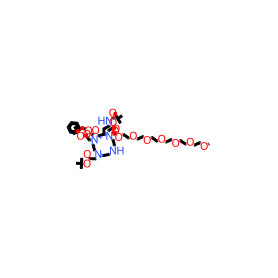 COCCOCCOCCOCCOCCOCCOC(=O)[N+]1(CC(=O)OC(C)(C)C)CCNCCN(CC(=O)OC(C)(C)C)CC[N+](CC(=O)OC(C)(C)C)(C(=O)OCc2ccccc2)CC1CCNC=O